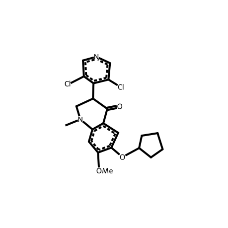 COc1cc2c(cc1OC1CCCC1)C(=O)C(c1c(Cl)cncc1Cl)CN2C